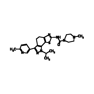 Cc1ccc(-c2nn(C(C)C)c3c2CCc2nc(NC(=O)N4CCN(C)CC4)sc2-3)cn1